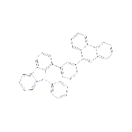 c1ccc(-n2c3ccccc3c3cccc(-c4cccc(-c5cc6ccccc6c6ccccc56)c4)c32)cc1